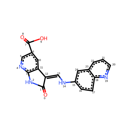 O=C1Nc2ncc(C(=O)O)cc2/C1=C/Nc1ccc2ncccc2c1